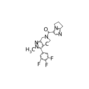 Cn1nc2c(c1-c1cc(F)c(F)c(F)c1)CCN(C(=O)c1cnc3n1CCC3)C2